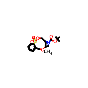 C.CC(C)(C)OC(=O)N1CC2CC1COS(=O)(=O)c1ccccc1CO2